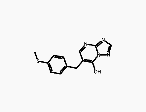 CSc1ccc(Cc2cnc3ncnn3c2O)cc1